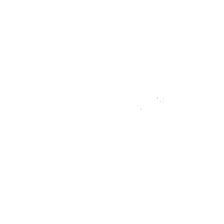 Cc1cc(-c2csc(N)n2)cc(C)c1OC(C)C